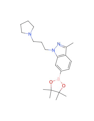 Cc1nn(CCCN2CCCC2)c2cc(B3OC(C)(C)C(C)(C)O3)ccc12